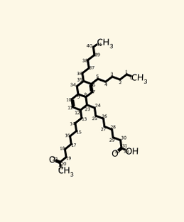 CCCCCCC1=CC2C(C=CC(CCCCCCCC(C)=O)C2CCCCCCCC(=O)O)CC1CCCCCC